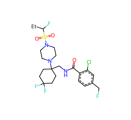 CCC(F)S(=O)(=O)N1CCN(C2(CNC(=O)c3ccc(CF)cc3Cl)CCC(F)(F)CC2)CC1